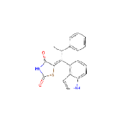 CC(C(=C1SC(=O)NC1=O)c1cccc2[nH]ccc12)c1ccccc1